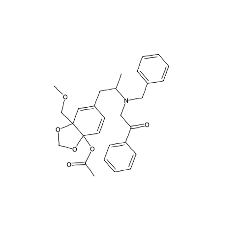 COCC12C=C(CC(C)N(CC(=O)c3ccccc3)Cc3ccccc3)C=CC1(OC(C)=O)OCO2